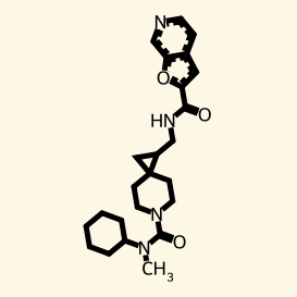 CN(C(=O)N1CCC2(CC1)CC2CNC(=O)c1cc2ccncc2o1)C1CCCCC1